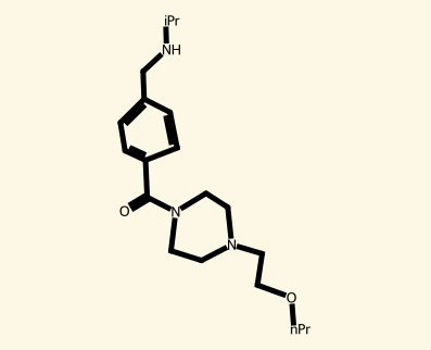 CCCOCCN1CCN(C(=O)c2ccc(CNC(C)C)cc2)CC1